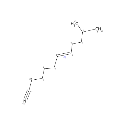 CC(C)CC/C=C/CCCCC#N